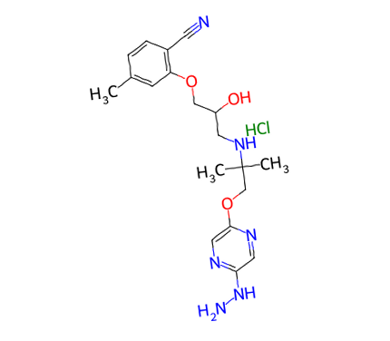 Cc1ccc(C#N)c(OCC(O)CNC(C)(C)COc2cnc(NN)cn2)c1.Cl